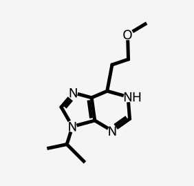 COCCC1NC=Nc2c1ncn2C(C)C